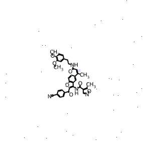 COc1ccc(CCNC(=O)/C=C(/C)c2ccc3oc(C(=O)c4ccc(C#N)cc4)c(NC(=O)c4cnoc4C)c3c2)cc1OC